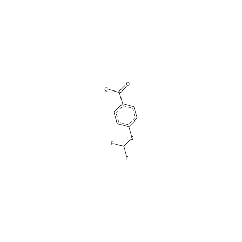 O=C(Cl)c1ccc(SC(F)F)cc1